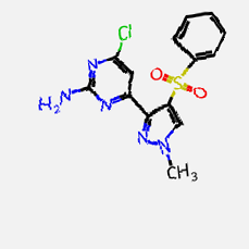 Cn1cc(S(=O)(=O)c2ccccc2)c(-c2cc(Cl)nc(N)n2)n1